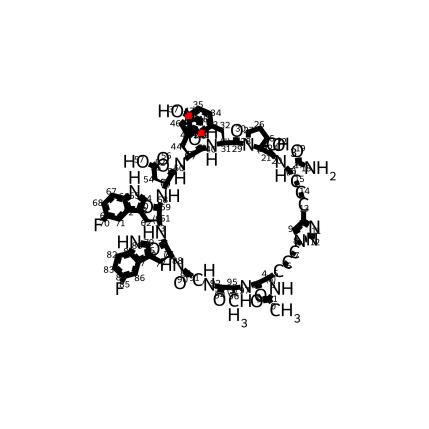 CC(=O)N[C@H]1CCCn2cc(nn2)CCC[C@@H](C(N)=O)NC(=O)[C@]2(C)CCCN2C(=O)[C@H](Cc2ccc(O)cc2)NC(=O)[C@H](Cc2cnc[nH]2)NC(=O)[C@H](CC(=O)O)NC(=O)[C@H](Cc2c[nH]c3ccc(F)cc23)NC(=O)[C@H](Cc2c[nH]c3ccc(F)cc23)NC(=O)CNC(=O)[C@H](C)NC1=O